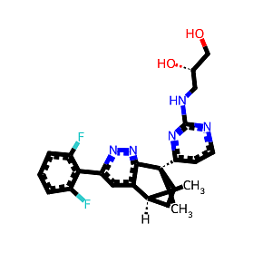 CC1(C)[C@H]2CC[C@]1(c1ccnc(NC[C@H](O)CO)n1)c1nnc(-c3c(F)cccc3F)cc12